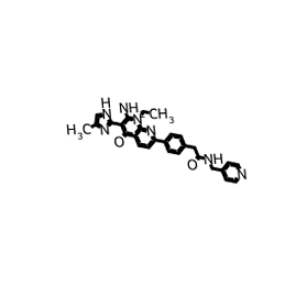 CCn1c(N)c(-c2nc(C)c[nH]2)c(=O)c2ccc(-c3ccc(CC(=O)NCc4ccncc4)cc3)nc21